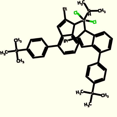 CCC1=Cc2c(-c3ccc([Si](C)(C)C)cc3)cccc2[CH]1[Zr]([Cl])([Cl])([CH]1C(C(C)C)=Cc2c(-c3ccc([Si](C)(C)C)cc3)cccc21)[SiH](C)C